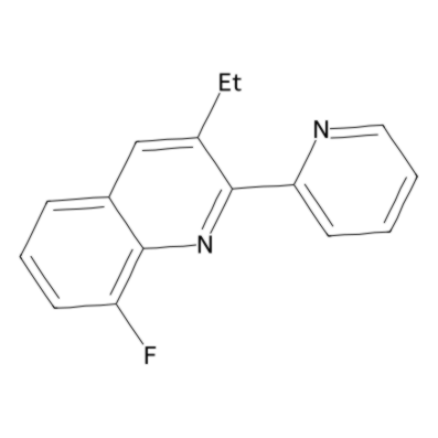 CCc1cc2cccc(F)c2nc1-c1ccccn1